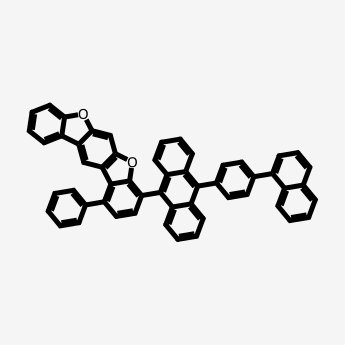 c1ccc(-c2ccc(-c3c4ccccc4c(-c4ccc(-c5cccc6ccccc56)cc4)c4ccccc34)c3oc4cc5oc6ccccc6c5cc4c23)cc1